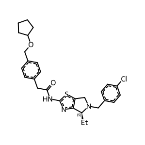 CC[C@H]1c2nc(NC(=O)Cc3ccc(COC4CCCC4)cc3)sc2CN1Cc1ccc(Cl)cc1